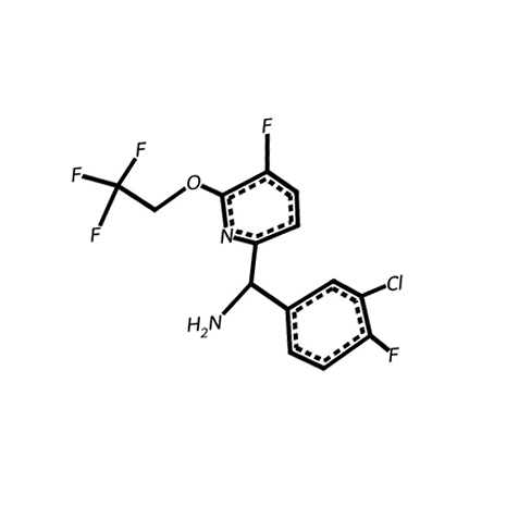 NC(c1ccc(F)c(Cl)c1)c1ccc(F)c(OCC(F)(F)F)n1